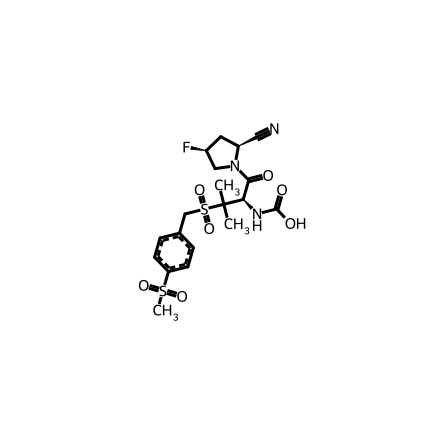 CC(C)([C@H](NC(=O)O)C(=O)N1C[C@@H](F)C[C@H]1C#N)S(=O)(=O)Cc1ccc(S(C)(=O)=O)cc1